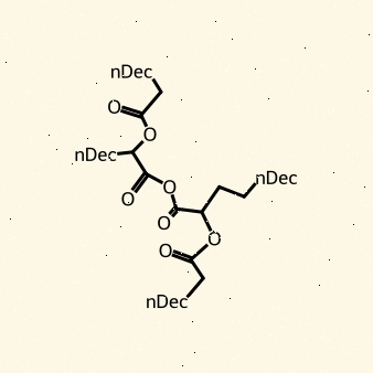 CCCCCCCCCCCCC(OC(=O)CCCCCCCCCCC)C(=O)OC(=O)C(CCCCCCCCCC)OC(=O)CCCCCCCCCCC